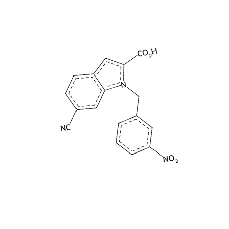 N#Cc1ccc2cc(C(=O)O)n(Cc3cccc([N+](=O)[O-])c3)c2c1